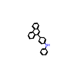 C1=CC(c2cc3ccccc3c3ccccc23)CC=C1Nc1ccccc1